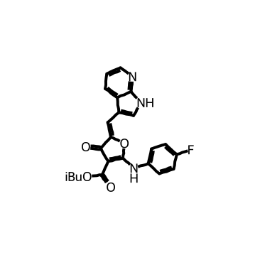 CC(C)COC(=O)C1=C(Nc2ccc(F)cc2)OC(=Cc2c[nH]c3ncccc23)C1=O